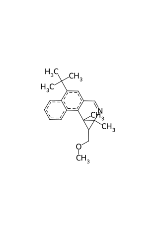 COCC1C2(C)N=Cc3cc(C(C)(C)C)c4ccccc4c3C12C